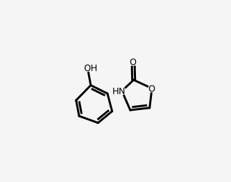 O=c1[nH]cco1.Oc1ccccc1